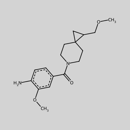 COCC1CC12CCN(C(=O)c1ccc(N)c(OC)c1)CC2